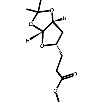 COC(=O)CC[C@H]1C[C@H]2OC(C)(C)O[C@H]2O1